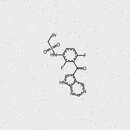 CC(C)CS(=O)(=O)Nc1ccc(F)c(C(=O)c2c[nH]c3ncncc23)c1F